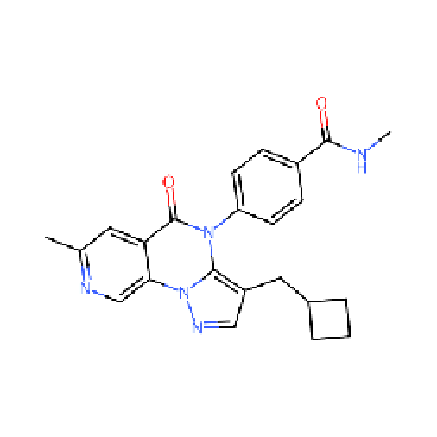 CNC(=O)c1ccc(-n2c(=O)c3cc(C)ncc3n3ncc(CC4CCC4)c23)cc1